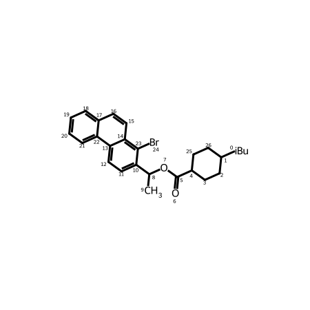 CCC(C)C1CCC(C(=O)OC(C)c2ccc3c(ccc4ccccc43)c2Br)CC1